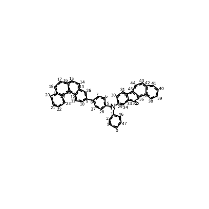 c1ccc(N(c2ccc(-c3ccc4c(ccc5ccc6ccccc6c54)c3)cc2)c2ccc3c(c2)sc2c4ccccc4ccc32)cc1